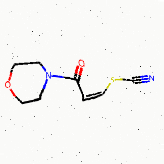 N#CS/C=C\C(=O)N1CCOCC1